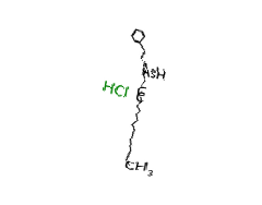 CCCCCCCCCCCCCCCC[AsH]CCc1ccccc1.Cl